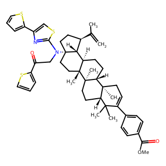 C=C(C)[C@@H]1CC[C@]2(N(CC(=O)c3cccs3)c3nc(-c4cccs4)cs3)CC[C@]3(C)[C@H](CC[C@@H]4[C@@]5(C)CC=C(c6ccc(C(=O)OC)cc6)C(C)(C)[C@@H]5CC[C@]43C)[C@@H]12